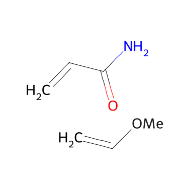 C=CC(N)=O.C=COC